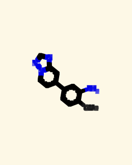 COc1ccc(-c2ccn3ncnc3c2)cc1N